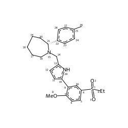 CCS(=O)(=O)c1ccc(OC)c(-c2ccc(CN3CCCCC[C@@H]3c3ccc(C)cc3)[nH]2)c1